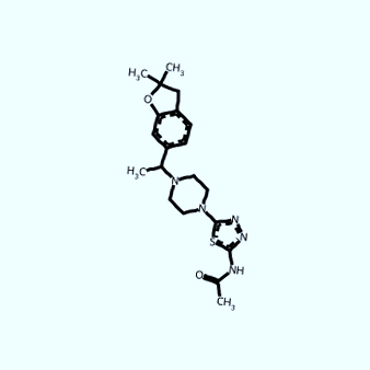 CC(=O)Nc1nnc(N2CCN(C(C)c3ccc4c(c3)OC(C)(C)C4)CC2)s1